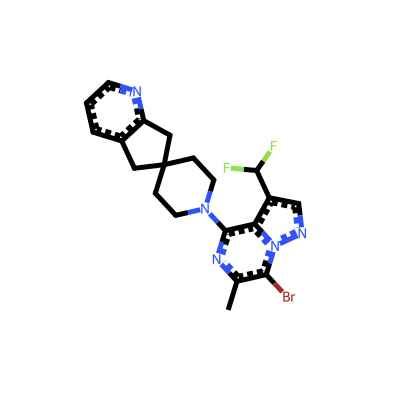 Cc1nc(N2CCC3(CC2)Cc2cccnc2C3)c2c(C(F)F)cnn2c1Br